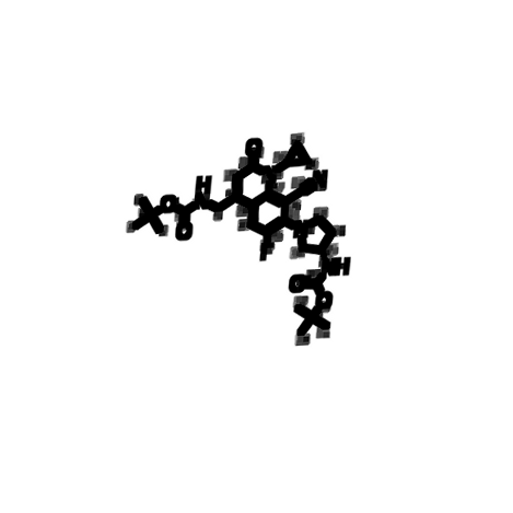 CC(C)(C)OC(=O)NCc1cc(=O)n(C2CC2)c2c(C#N)c(N3CC[C@H](NC(=O)OC(C)(C)C)C3)c(F)cc12